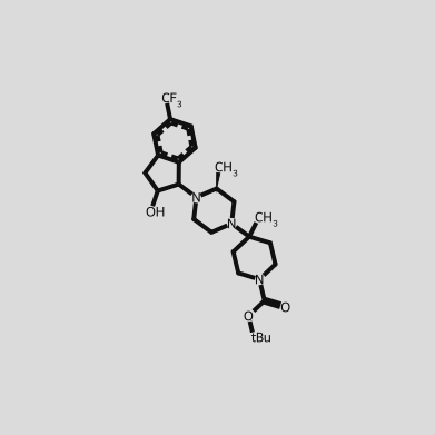 C[C@H]1CN(C2(C)CCN(C(=O)OC(C)(C)C)CC2)CCN1C1c2ccc(C(F)(F)F)cc2CC1O